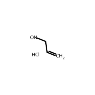 C=CCN=O.Cl